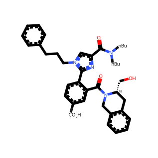 CCCCN(CCCC)C(=O)c1cn(CCCc2ccccc2)c(-c2ccc(C(=O)O)cc2C(=O)N2Cc3ccccc3C[C@H]2CO)n1